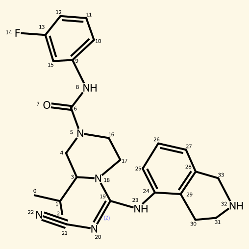 CC(C)C1CN(C(=O)Nc2cccc(F)c2)CCN1/C(=N\C#N)Nc1cccc2c1CCNC2